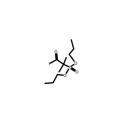 CCCOP(=O)(OCCC)C(C)(C)C(=O)I